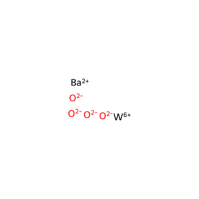 [Ba+2].[O-2].[O-2].[O-2].[O-2].[W+6]